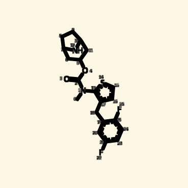 CN(C(=O)OC1CC2CCC(C1)N2)c1sccc1Cc1cc(F)ccc1F